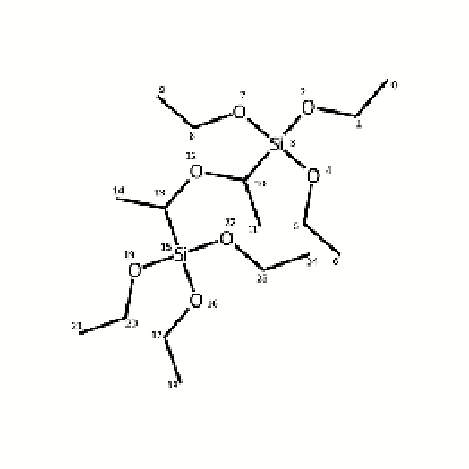 CCO[Si](OCC)(OCC)C(C)OC(C)[Si](OCC)(OCC)OCC